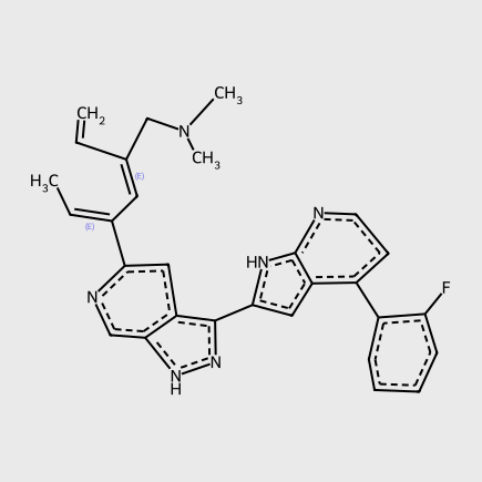 C=C/C(=C\C(=C/C)c1cc2c(-c3cc4c(-c5ccccc5F)ccnc4[nH]3)n[nH]c2cn1)CN(C)C